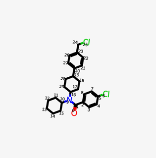 O=C(c1ccc(Cl)cc1)N(C1CCCCC1)C1CCC(c2ccc(CCl)cc2)CC1